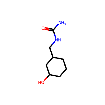 NC(=O)NCC1CCCC(O)C1